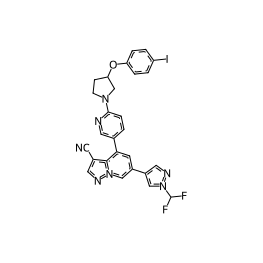 N#Cc1cnn2cc(-c3cnn(C(F)F)c3)cc(-c3ccc(N4CCC(Oc5ccc(I)cc5)C4)nc3)c12